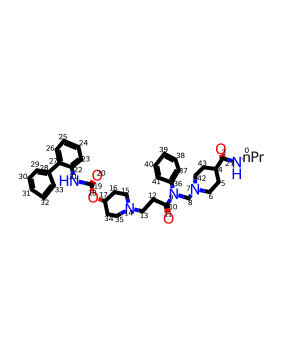 CCCNC(=O)C1CCN(CN(C(=O)CCN2CCC(OC(=O)Nc3ccccc3-c3ccccc3)CC2)c2ccccc2)CC1